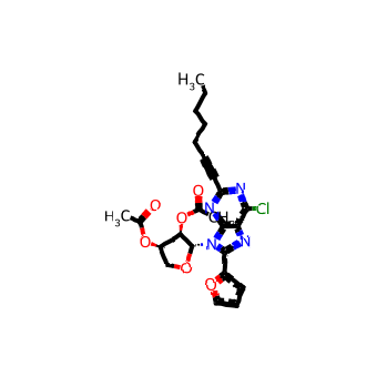 CCCCCC#Cc1nc(Cl)c2nc(-c3ccco3)n([C@@H]3OC[C@@H](OC(C)=O)[C@H]3OC(C)=O)c2n1